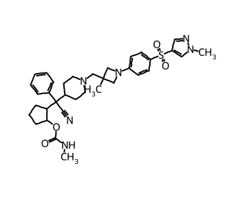 CNC(=O)OC1CCCC1C(C#N)(c1ccccc1)C1CCN(CC2(C)CN(c3ccc(S(=O)(=O)c4cnn(C)c4)cc3)C2)CC1